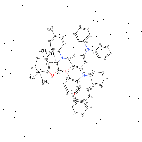 CC(C)(C)c1ccc(N2c3cc(N(c4ccccc4)c4ccccc4)cc4c3B(c3ccc(-c5ccccc5)cc3N4c3ccccc3-c3ccccc3)c3oc4c(c32)C(C)(C)CCC4(C)C)cc1